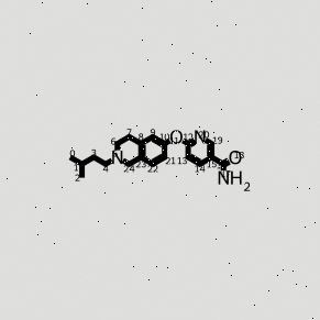 CC(C)CCN1CCc2cc(Oc3ccc(C(N)=O)cn3)ccc2C1